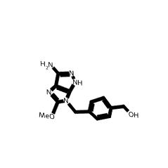 COc1nc2c(N)n[nH]c2n1Cc1ccc(CO)cc1